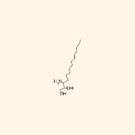 CCCCCCCCCCCCC(N)C(O)CO